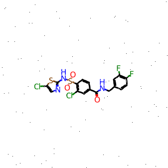 O=C(NCc1ccc(F)c(F)c1)c1ccc(S(=O)(=O)Nc2ncc(Cl)s2)c(Cl)c1